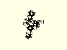 CN1C(=O)N(c2ccc(Sc3cccs3)cc2)C(=O)C1(C)Cc1ccncc1.O=C(O)C(F)(F)F